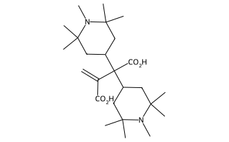 C=C(C(=O)O)C(C(=O)O)(C1CC(C)(C)N(C)C(C)(C)C1)C1CC(C)(C)N(C)C(C)(C)C1